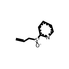 C=CC[S+]([O-])c1ccccn1